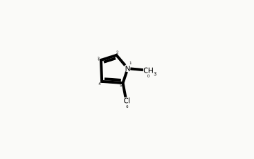 Cn1c[c]cc1Cl